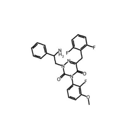 COc1cccc(-n2c(=O)c(Cc3c(F)cccc3F)nn(CC(N)c3ccccc3)c2=O)c1F